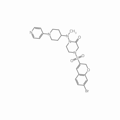 CN(C1CCN(c2ccncc2)CC1)N1CCN(S(=O)(=O)C2=Cc3ccc(Br)cc3OC2)CC1=O